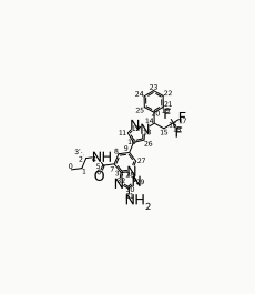 CC[C@H](C)NC(=O)c1cc(-c2cnn(C(CC(F)(F)F)c3ccccc3)c2)cn2nc(N)nc12